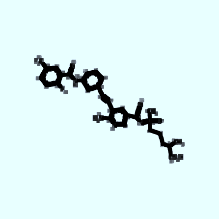 CC(CCCS(C)(=O)=NC(=O)c1cnc(N)c(C#Cc2cccc(NC(=O)c3cc(C(F)(F)F)ccc3F)c2)c1)C(=O)O